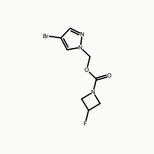 O=C(OCn1cc(Br)cn1)N1CC(F)C1